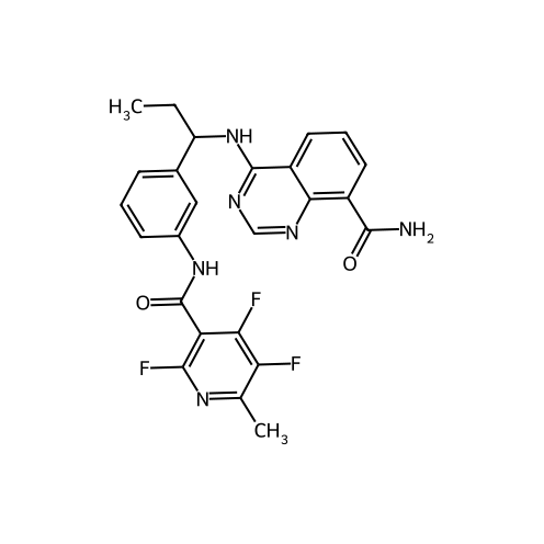 CCC(Nc1ncnc2c(C(N)=O)cccc12)c1cccc(NC(=O)c2c(F)nc(C)c(F)c2F)c1